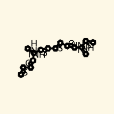 C1=CC2C3=C(CC(c4ccc5sc6c(-c7ccc8c(c7)oc7cc(C9N=C(c%10ccccc%10)NC(c%10cccc%11c%10sc%10ccccc%10%11)N9)ccc78)cccc6c5c4)C=C3)SC2C=C1C1NC(c2ccccc2)=NC(C2C=Cc3c(oc4c(-c5cccc6c5sc5ccccc56)cccc34)C2)N1